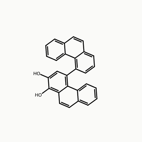 Oc1cc(-c2cccc3ccc4ccccc4c23)c2c(ccc3ccccc32)c1O